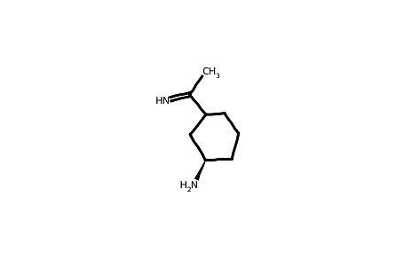 CC(=N)C1CCC[C@@H](N)C1